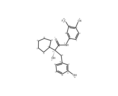 N#Cc1ccc(NC(=O)[C@@](O)(Cc2cccc(O)c2)C2CCCCC2)cc1C(F)(F)F